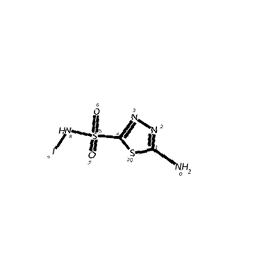 Nc1nnc(S(=O)(=O)NI)s1